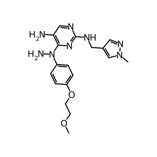 COCCOc1ccc(N(N)c2nc(NCc3cnn(C)c3)ncc2N)cc1